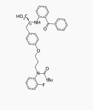 CC(C)(C)C(=O)N(CCCOc1ccc(C[C@H](Nc2ccccc2C(=O)c2ccccc2)C(=O)O)cc1)c1ccccc1F